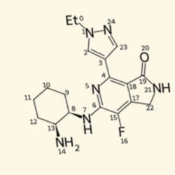 CCn1cc(-c2nc(N[C@@H]3CCCC[C@@H]3N)c(F)c3c2C(=O)NC3)cn1